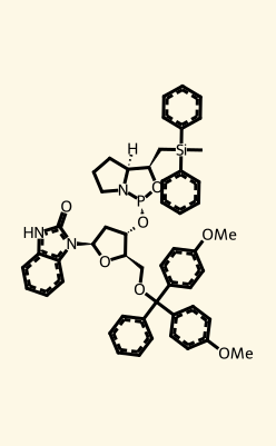 COc1ccc(C(OC[C@H]2O[C@@H](n3c(=O)[nH]c4ccccc43)C[C@@H]2O[P@@]2O[C@H](C[Si](C)(c3ccccc3)c3ccccc3)[C@@H]3CCCN32)(c2ccccc2)c2ccc(OC)cc2)cc1